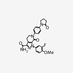 COc1ccc(-n2nc(C(N)=O)c3c2C(=O)N(c2ccc(N4CCCC4=O)cc2)CC3)cc1F